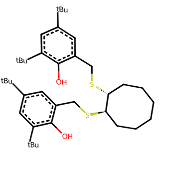 CC(C)(C)c1cc(CS[C@@H]2CCCCCC[C@H]2SCc2cc(C(C)(C)C)cc(C(C)(C)C)c2O)c(O)c(C(C)(C)C)c1